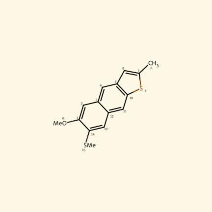 COc1cc2cc3cc(C)sc3cc2cc1SC